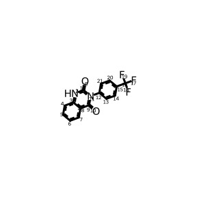 O=c1[nH]c2ccccc2c(=O)n1-c1ccc(C(F)(F)F)cc1